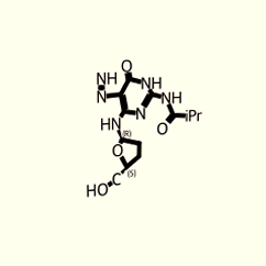 CC(C)C(=O)Nc1nc(N[C@H]2CC[C@@H](CO)O2)c(N=N)c(=O)[nH]1